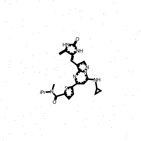 C=c1[nH]c(=O)[nH]/c1=C\c1cnn2c(NC3CC3)cc(-c3ccc(C(=O)N(C)C(C)C)s3)nc12